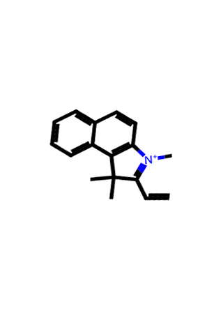 C=CC1=[N+](C)c2ccc3ccccc3c2C1(C)C